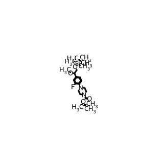 COC(CO[Si](C)(C)C(C)(C)C)c1ccc(N2CCN(C(=O)OC(C)(C)C)CC2)c(F)c1